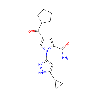 NC(=O)c1cc(C(=O)C2CCCC2)cn1-c1cc(C2CC2)[nH]n1